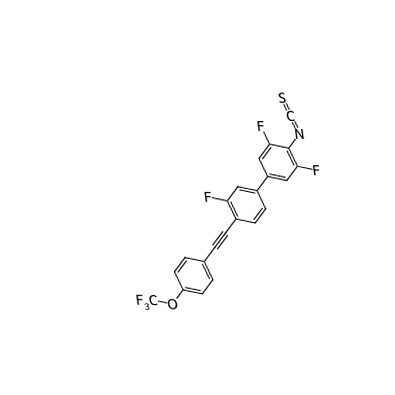 Fc1cc(-c2cc(F)c(N=C=S)c(F)c2)ccc1C#Cc1ccc(OC(F)(F)F)cc1